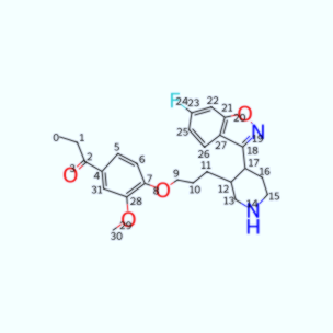 CCC(=O)c1ccc(OCCCC2CNCCC2c2noc3cc(F)ccc23)c(OC)c1